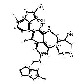 C[C@H]1CN2CCC[C@@]2(COc2nc3c4c(c(Cl)c(-c5ccc(F)c6sc(N)c(C#N)c56)c(F)c4n2)OCC2C(O)COCCN32)C1